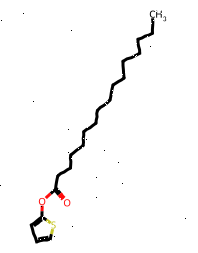 CCCCCCCCCCCCCCCC(=O)Oc1cccs1